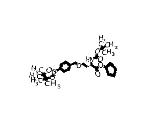 CC(C)(C)OC(=O)N[C@@H](CCOCc1ccc(B2OC(C)(C)C(C)(C)O2)cc1)C(=O)OC1CCCC1